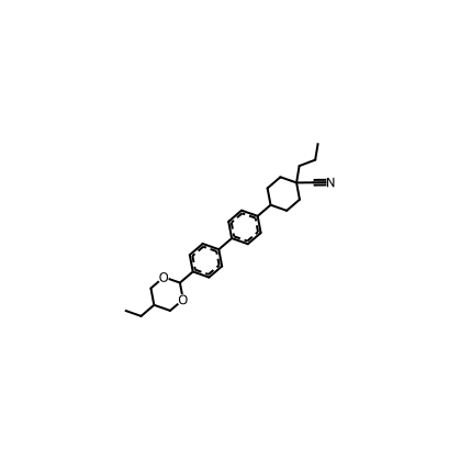 CCCC1(C#N)CCC(c2ccc(-c3ccc(C4OCC(CC)CO4)cc3)cc2)CC1